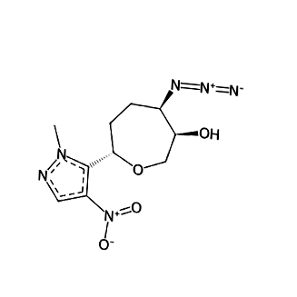 Cn1ncc([N+](=O)[O-])c1[C@@H]1CC[C@@H](N=[N+]=[N-])[C@@H](O)CO1